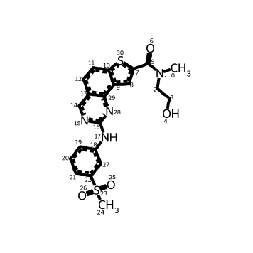 CN(CCO)C(=O)c1cc2c(ccc3cnc(Nc4cccc(S(C)(=O)=O)c4)nc32)s1